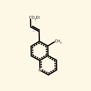 CCOC(=O)/C=C/c1ccc2ncccc2c1C